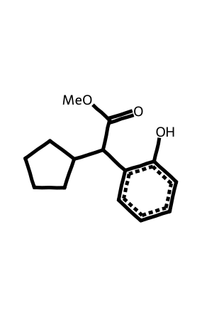 COC(=O)C(c1ccccc1O)C1CCCC1